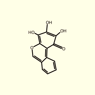 O=c1c(O)c(O)c(O)c2occ3ccccc3c1-2